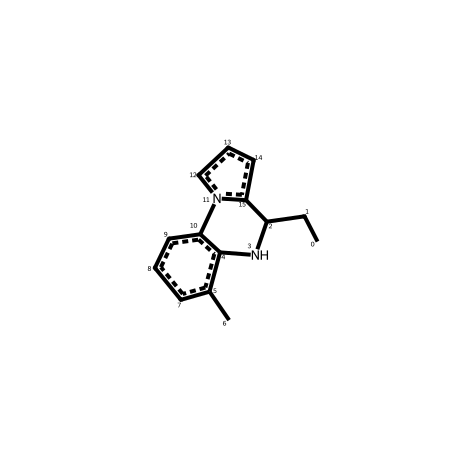 CCC1Nc2c(C)cccc2-n2cccc21